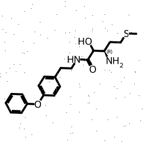 CSCC[C@@H](N)C(O)C(=O)NCCc1ccc(Oc2ccccc2)cc1